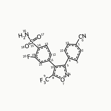 N#Cc1ccc(-c2noc(C(F)(F)F)c2-c2ccc(S(N)(=O)=O)c(F)c2)cc1